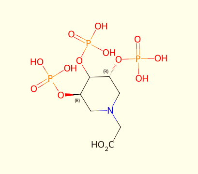 O=C(O)CN1C[C@@H](OP(=O)(O)O)C(OP(=O)(O)O)[C@H](OP(=O)(O)O)C1